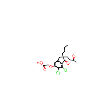 CCCCC1(CCC(C)=O)Cc2cc(OCC(=O)O)c(Cl)c(Cl)c2C1=O